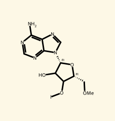 COC[C@H]1O[C@@H](n2cnc3c(N)ncnc32)C(O)C1OI